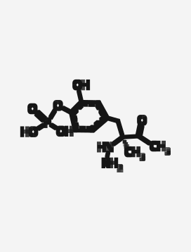 CC(=O)[C@](C)(Cc1ccc(OP(=O)(O)O)c(O)c1)NN